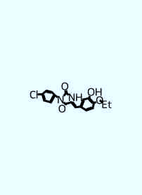 CCOc1ccc(/C=C2\NC(=O)N(c3ccc(Cl)cc3)C2=O)cc1O